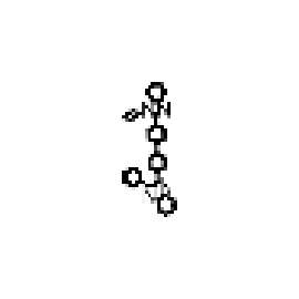 c1ccc(-c2nc3ccccc3nc2-c2ccc(-c3ccc(-c4nc5ccccc5n4C4C5CC54)cc3)cc2)cc1